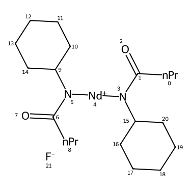 CCCC(=O)[N]([Nd+][N](C(=O)CCC)C1CCCCC1)C1CCCCC1.[F-]